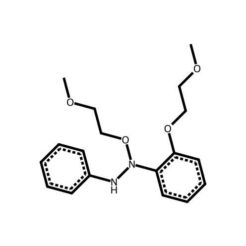 COCCOc1ccccc1N(Nc1ccccc1)OCCOC